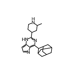 CC1CC(c2nc(C3C4CC5CC(C4)CC3C5)c3nccc-3[nH]2)CCN1